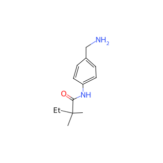 CCC(C)(C)C(=O)Nc1ccc(CN)cc1